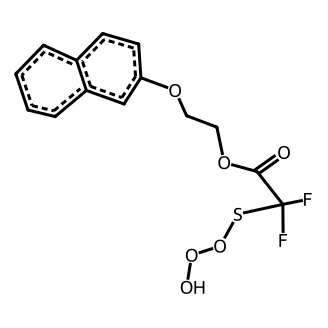 O=C(OCCOc1ccc2ccccc2c1)C(F)(F)SOOO